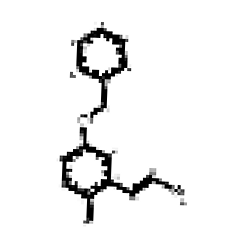 Cc1ccc(OCc2ccccc2)cc1C=CBr